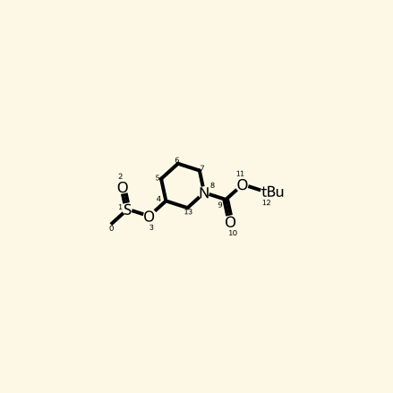 CS(=O)OC1CCCN(C(=O)OC(C)(C)C)C1